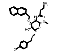 CS[C@@H]1O[C@H](COCc2ccc(Cl)cc2)[C@@H](O)[C@@H](OCc2ccc3ccccc3c2)[C@H]1NC(=O)CCN